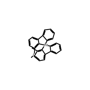 COc1cccc2c1[PH]1(c3ccccc3-c3cccc(C)c31)c1ccccc1-2